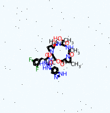 C[C@H]1C[C@H]2C(=O)O[C@@H](C)[C@H](NC(=O)[C@H](Cc3cc(F)cc(F)c3)NC(=O)Nc3ccc4[nH]cnc4c3)C(=O)N3CCC[C@H]3C(=O)N(C)[C@@H]([C@H](C)O)C(=O)N[C@@H](C)C(=O)N2C1